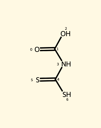 O=C(O)NC(=S)S